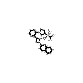 C[N+](C)(C(=O)[O-])C1CCN(c2nccnc2C2CN(c3ccc4ccccc4n3)C2)C1